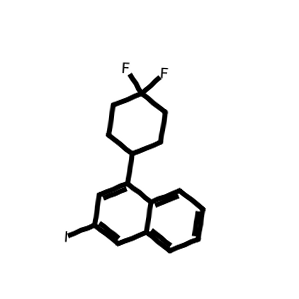 FC1(F)CCC(c2cc(I)cc3ccccc23)CC1